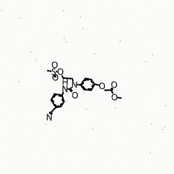 COC(=O)COc1ccc(N(CCOS(C)(=O)=O)C(=O)Nc2ccc(C#N)cc2)cc1